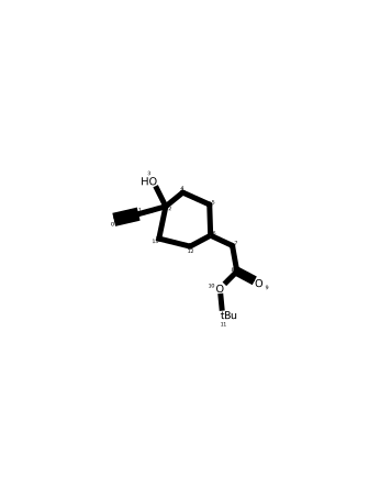 C#CC1(O)CCC(CC(=O)OC(C)(C)C)CC1